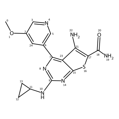 COc1cncc(-c2nc(NC3CC3)nc3sc(C(N)=O)c(N)c23)c1